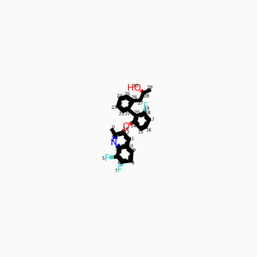 Cc1nc2c(F)c(F)ccc2cc1Oc1cccc(F)c1-c1ccccc1CC(C)O